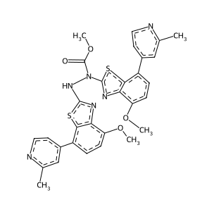 COC(=O)N(Nc1nc2c(OC)ccc(-c3ccnc(C)c3)c2s1)c1nc2c(OC)ccc(-c3ccnc(C)c3)c2s1